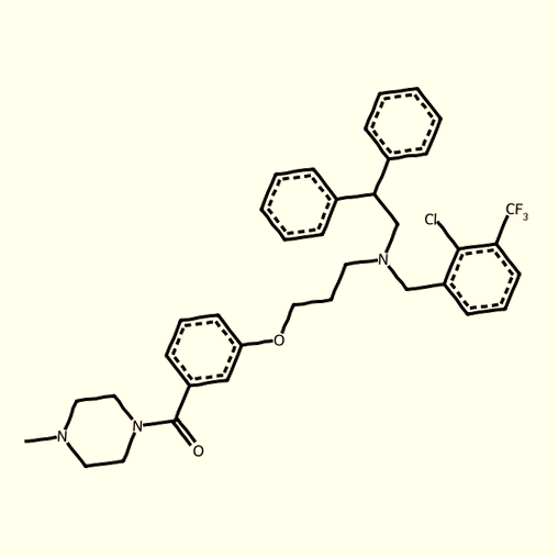 CN1CCN(C(=O)c2cccc(OCCCN(Cc3cccc(C(F)(F)F)c3Cl)CC(c3ccccc3)c3ccccc3)c2)CC1